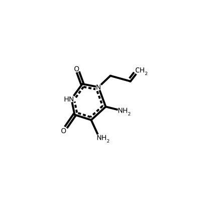 C=CCn1c(N)c(N)c(=O)[nH]c1=O